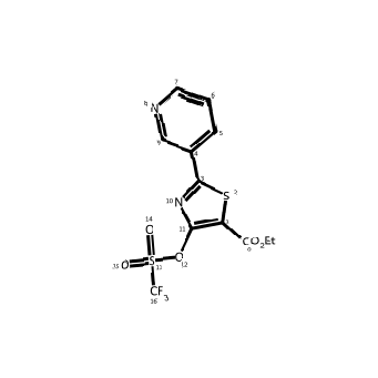 CCOC(=O)c1sc(-c2cccnc2)nc1OS(=O)(=O)C(F)(F)F